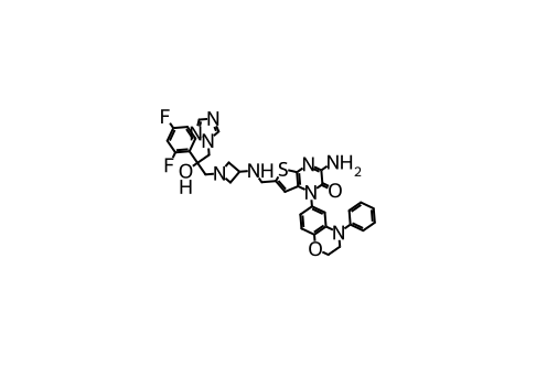 Nc1nc2sc(CNC3CN(CC(O)(Cn4cncn4)c4ccc(F)cc4F)C3)cc2n(-c2ccc3c(c2)N(c2ccccc2)CCO3)c1=O